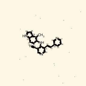 Cc1c(Nc2c(C#N)cncc2C=Cc2cccnc2)ccc2[nH]ccc12